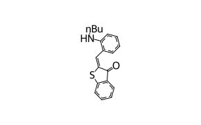 CCCCNc1ccccc1C=C1Sc2ccccc2C1=O